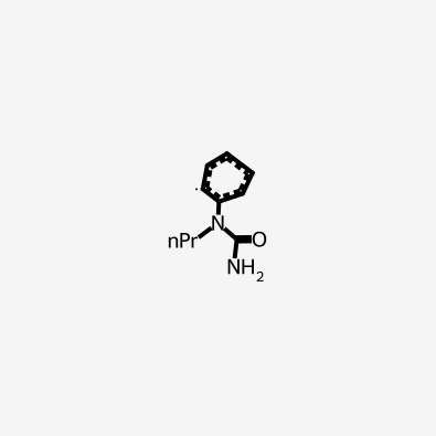 CCCN(C(N)=O)c1[c]cccc1